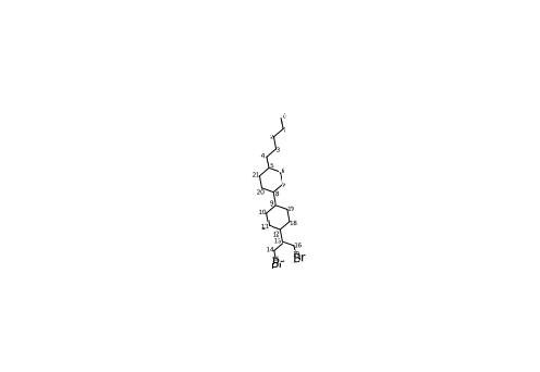 CCCCCC1CCC(C2CCC(C(CBr)CBr)CC2)CC1